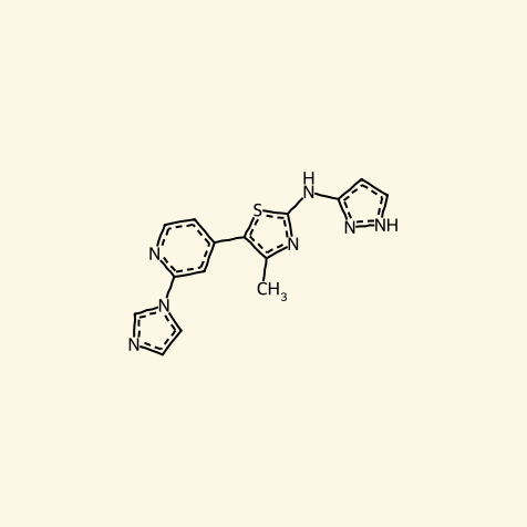 Cc1nc(Nc2cc[nH]n2)sc1-c1ccnc(-n2ccnc2)c1